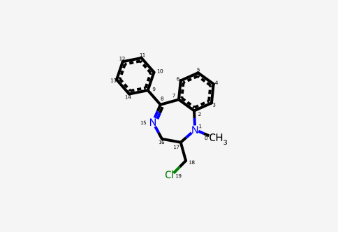 CN1c2ccccc2C(c2ccccc2)=NCC1CCl